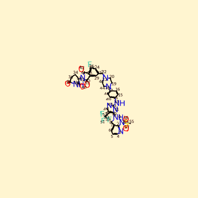 CN(c1ncccc1CNc1nc(Nc2ccc(N3CCN(Cc4cc(F)c5c(c4)C(=O)N(C4CCC(=O)NC4=O)C5=O)CC3)cc2)ncc1C(F)(F)F)S(C)(=O)=O